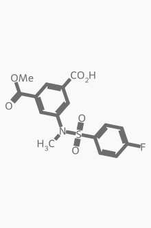 COC(=O)c1cc(C(=O)O)cc(N(C)S(=O)(=O)c2ccc(F)cc2)c1